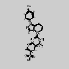 C[C@H](NC(=O)N1CCCc2c1cnn2-c1ccc(F)cc1)c1cncc(S(C)(=O)=O)c1